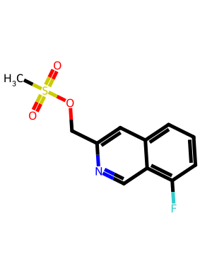 CS(=O)(=O)OCc1cc2cccc(F)c2cn1